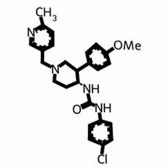 COc1ccc(C2CN(Cc3ccc(C)nc3)CC[C@H]2NC(=O)Nc2ccc(Cl)cc2)cc1